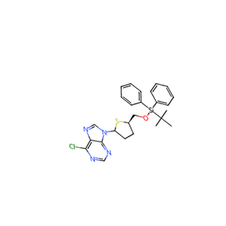 CC(C)(C)[Si](OC[C@H]1CCC(n2cnc3c(Cl)ncnc32)S1)(c1ccccc1)c1ccccc1